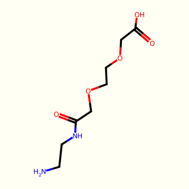 NCCNC(=O)COCCOCC(=O)O